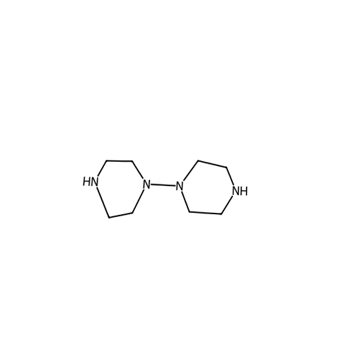 C1CN(N2CCNCC2)CCN1